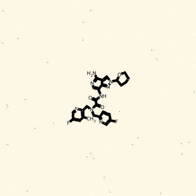 Cc1cc(F)cnc1CN(Cc1ccc(F)cn1)C(=O)C(=O)Nc1cnc(N)c2cn(C3CCCCO3)nc12